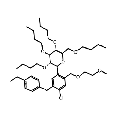 CCCCOC[C@H]1O[C@@H](c2cc(Cc3ccc(CC)cc3)c(Cl)cc2COCCOC)[C@H](OCCCC)[C@@H](OCCCC)[C@@H]1OCCCC